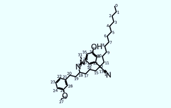 CCCCCCCCCCCCC(C#N)(CCCC(CCc1cccc(OC)c1)N=NC)c1cccc(O)c1